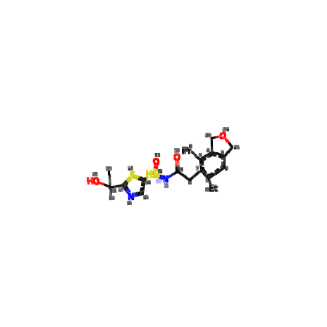 CCc1cc2c(c(C(C)C)c1CC(=O)/N=[SH](=O)/c1cnc(C(C)(C)O)s1)COC2